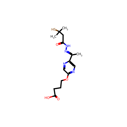 CC(=NNC(=O)CC(C)(C)S)c1cnc(OCCCC(=O)O)cn1